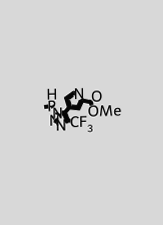 COC(=O)c1cc(-c2c(C(F)(F)F)nnn2PC)ccn1